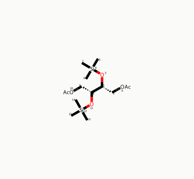 CC(=O)OC[C@@H](O[Si](C)(C)C)[C@@H](COC(C)=O)O[Si](C)(C)C